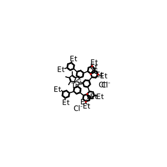 CCc1cc(CC)cc(-c2cc(-c3cc(CC)cc(CC)c3)cc([Si](c3cc(-c4cc(CC)cc(CC)c4)cc(-c4cc(CC)cc(CC)c4)c3)(c3cc(-c4cc(CC)cc(CC)c4)cc(-c4cc(CC)cc(CC)c4)c3)[C]3([Ti+3])C(C)=C(C)C(C)=C3C)c2)c1.[Cl-].[Cl-].[Cl-]